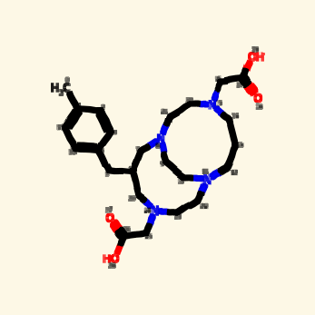 Cc1ccc(CC2CN3CCN(CCCN(CC(=O)O)CC3)CCN(CC(=O)O)C2)cc1